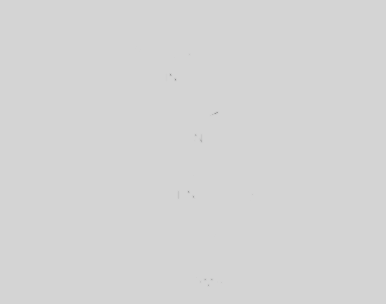 COc1ccc(C(NC2CCN([C@H](C)CCNC(=O)c3c(C)cccc3C)CC2)c2ccsc2)cc1